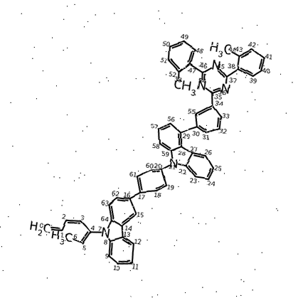 C=C/C=C\C(=C/C)n1c2ccccc2c2cc(-c3ccc(-n4c5ccccc5c5c(-c6cccc(-c7nc(-c8ccccc8C)nc(-c8ccccc8C)n7)c6)cccc54)cc3)ccc21